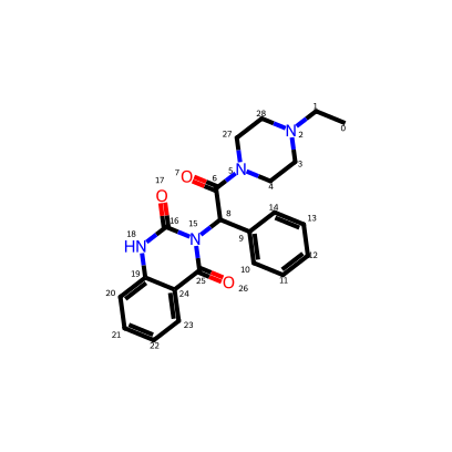 CCN1CCN(C(=O)C(c2ccccc2)n2c(=O)[nH]c3ccccc3c2=O)CC1